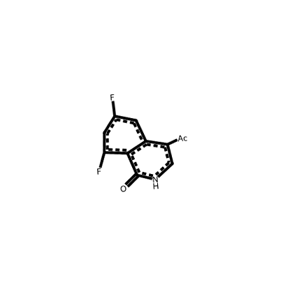 CC(=O)c1c[nH]c(=O)c2c(F)cc(F)cc12